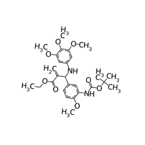 C=C(C(=O)OCC)C(Nc1cc(OC)c(OC)c(OC)c1)c1ccc(OC)c(NC(=O)OC(C)(C)C)c1